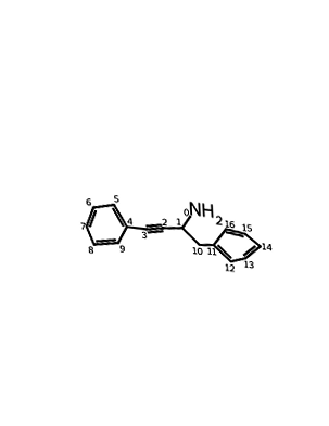 NC(C#Cc1ccccc1)Cc1ccccc1